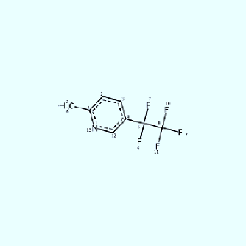 [CH2]c1ccc(C(F)(F)C(F)(F)F)cn1